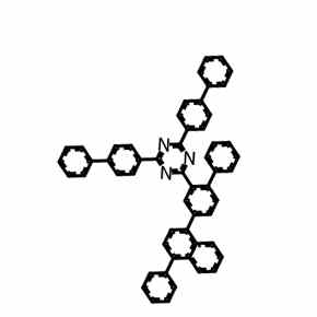 c1ccc(-c2ccc(-c3nc(-c4ccc(-c5ccccc5)cc4)nc(-c4cc(-c5ccc(-c6ccccc6)c6ccccc56)ccc4-c4ccccc4)n3)cc2)cc1